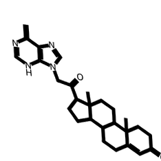 C=C1N=CNc2c1ncn2CC(=O)C1CCC2C3CCC4=CC(=O)CCC4(C)C3CCC12C